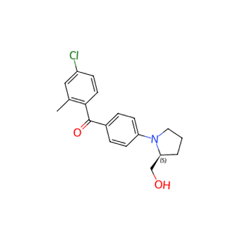 Cc1cc(Cl)ccc1C(=O)c1ccc(N2CCC[C@H]2CO)cc1